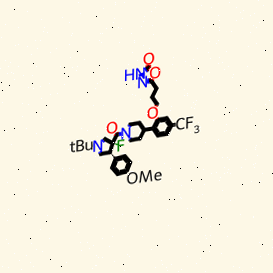 COc1ccc([C@@H]2CN(C(C)(C)C)C[C@@]2(F)C(=O)N2CCC(c3ccc(C(F)(F)F)cc3OCCCc3n[nH]c(=O)o3)CC2)cc1